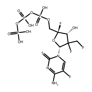 Nc1nc(=S)n([C@@H]2O[C@](F)(COP(=O)(O)OP(=O)(O)OP(=O)(O)O)[C@H](O)C2(F)CF)cc1F